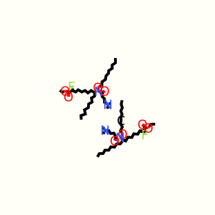 CCCCCCCCCCON(C(=O)CCCN(C)C)C(CCCCC/C=C(\F)C(=O)OCC)CCCCCCCCC.CCCCCCCCCCON(C(=O)CCCN(C)C)C(CCCCCCCCC)CCCCCCC(F)C(=O)OCC